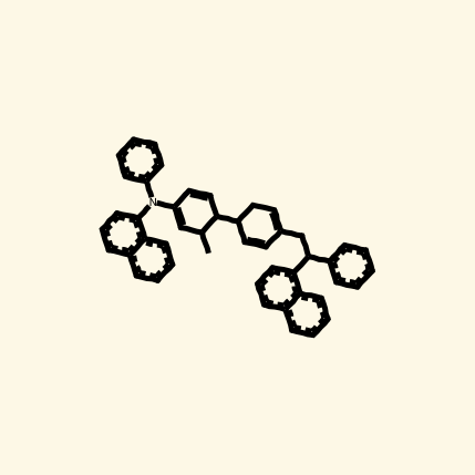 CC1C=C(N(c2ccccc2)c2cccc3ccccc23)C=CC1C1C=CC(CC(c2ccccc2)c2cccc3ccccc23)=CC1